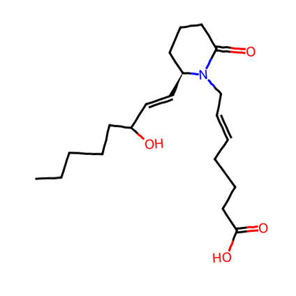 CCCCCC(O)C=C[C@H]1CCCC(=O)N1CC=CCCCC(=O)O